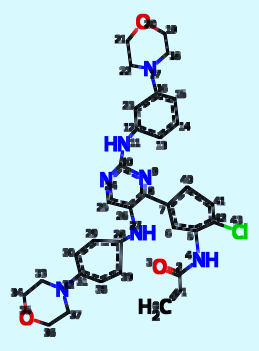 C=CC(=O)Nc1cc(-c2nc(Nc3cccc(N4CCOCC4)c3)ncc2Nc2ccc(N3CCOCC3)cc2)ccc1Cl